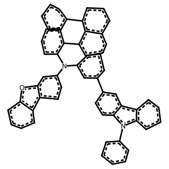 c1ccc(-c2cccc3cccc(-c4ccccc4N(c4cccc(-c5ccc6c(c5)c5ccccc5n6-c5ccccc5)c4)c4ccc5c(c4)oc4ccccc45)c23)cc1